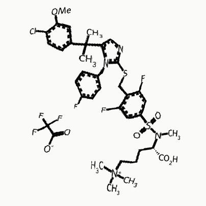 COc1cc(C(C)(C)c2cnc(SCc3c(F)cc(S(=O)(=O)N(C)[C@@H](CCC[N+](C)(C)C)C(=O)O)cc3F)n2-c2ccc(F)cc2)ccc1Cl.O=C([O-])C(F)(F)F